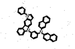 c1ccc(-n2ccc3cc4c(cc32)c2ccccc2n4-c2cccc(N(c3ccc4ccccc4c3)c3ccc4ccccc4c3)c2)cc1